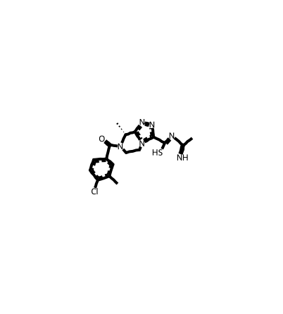 CC(=N)/N=C(\S)c1nnc2n1CCN(C(=O)c1ccc(Cl)c(C)c1)[C@@H]2C